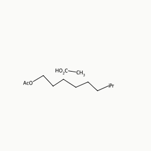 CC(=O)O.CC(=O)OCCCCCCC(C)C